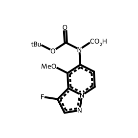 COc1c(N(C(=O)O)C(=O)OC(C)(C)C)ccn2ncc(F)c12